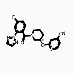 N#Cc1ccnc(O[C@@H]2CCCN(C(=O)c3ccc(F)cc3-n3nccn3)C2)c1